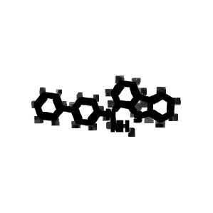 NN(c1ccc(-c2ccccc2)cc1)c1cccc2c1sc1ccccc12